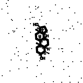 C[C@@H]1[C@@H](O)CC[C@@]2(C)[C@H]1CC[C@@H]1[C@@H]2CC[C@]2(C)[C@H](O)CC[C@@H]12